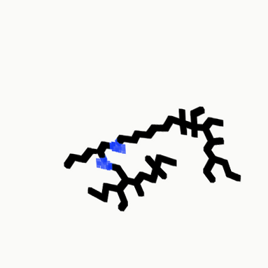 CCCC[C@@H](CNCCCCCCCC(C)(C)C(C)(CC)C(CC)C(C)CC(CC)CCC)NCC(C(C)CCC(C)(C)CC)C(CC)CCC